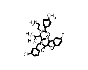 Cc1ccc(C(=O)N(CCN)C(c2nc3c(oc4ccc(F)cc43)c(=O)n2Cc2cccc(Cl)c2)C(C)C)cc1